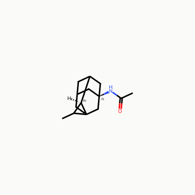 CC(=O)N[C@@]12CC3CC(C1)[C@@H]1C(C)C1(C3)C2